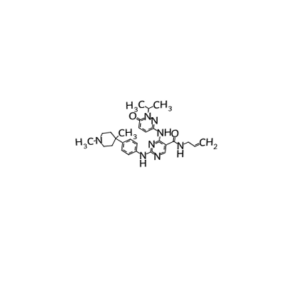 C=CCNC(=O)c1cnc(Nc2ccc(C3(C)CCN(C)CC3)cc2)nc1Nc1ccc(=O)n(C(C)C)n1